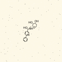 OC(NC[C@H]1OCC[C@@H](O)[C@H]1O)c1ccc(-c2ccccc2)nc1